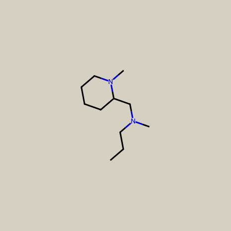 CCCN(C)CC1CCCCN1C